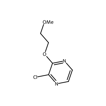 COCCOc1nccnc1Cl